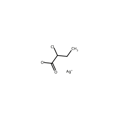 CCC(Cl)C(=O)[O-].[Ag+]